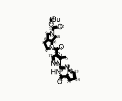 Cc1c(C(=O)N2CCC3CN(C(=O)OC(C)(C)C)CC32)cnn1-c1nn2cccc2c(=O)[nH]1